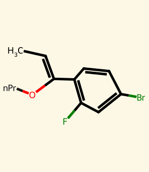 [CH2]CCOC(=CC)c1ccc(Br)cc1F